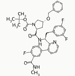 CNC(=O)c1cc(-c2cccnc2[C@H](Cc2cc(F)cc(F)c2)NC(=O)[C@@H]2C[C@@H](OCc3ccccc3)CN2C(=O)OC(C)(C)C)ccc1F